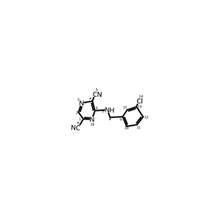 N#Cc1cnc(C#N)c(NCc2cccc(Cl)c2)n1